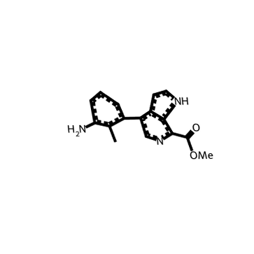 COC(=O)c1ncc(-c2cccc(N)c2C)c2cc[nH]c12